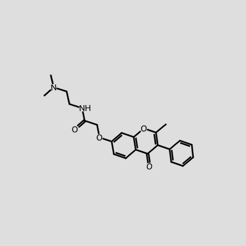 Cc1oc2cc(OCC(=O)NCCN(C)C)ccc2c(=O)c1-c1ccccc1